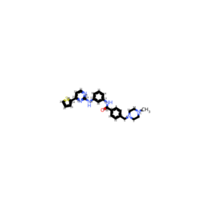 CN1CCN(Cc2ccc(C(=O)Nc3cccc(Nc4nccc(-c5cccs5)n4)c3)cc2)CC1